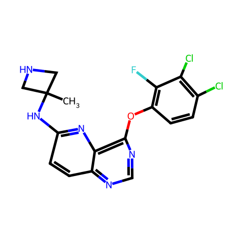 CC1(Nc2ccc3ncnc(Oc4ccc(Cl)c(Cl)c4F)c3n2)CNC1